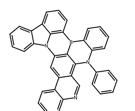 c1ccc(N2c3ccccc3B3c4c(cc5c(cnc6ccccc65)c42)-n2c4ccccc4c4cccc3c42)cc1